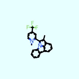 Cc1c(-c2cc(C(F)(F)F)cc[n+]2C)n2c3ccccc3c3cccc1c32